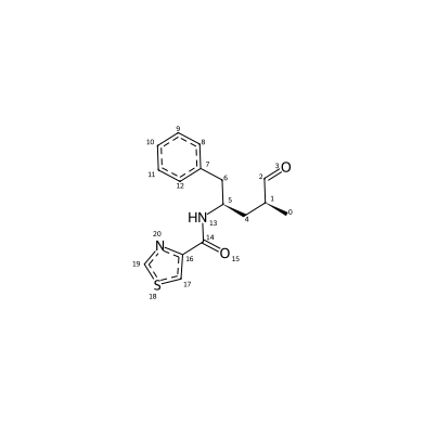 C[C@H](C=O)C[C@H](Cc1ccccc1)NC(=O)c1cscn1